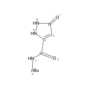 CCCCNC(=O)c1cc(=O)[nH][nH]1